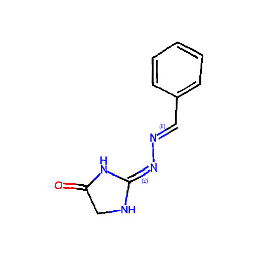 O=C1CN/C(=N/N=C/c2ccccc2)N1